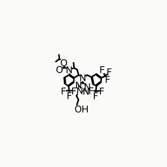 CC(C)OC(=O)N1c2ccc(C(F)(F)F)cc2C(N(Cc2cc(C(F)(F)F)cc(C(F)(F)F)c2)c2nnn(CCCO)n2)CC1C